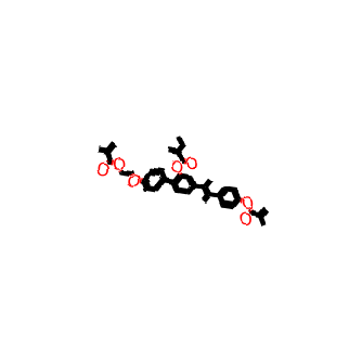 C=C(C)C(=O)OCCOc1ccc(-c2ccc(/C(C)=C(\C)c3ccc(OC(=O)C(=C)C)cc3)cc2OC(=O)C(=C)CC)cc1